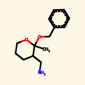 CC1(OCc2ccccc2)OCCCC1CN